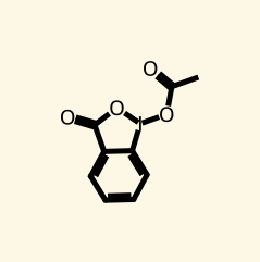 CC(=O)OI1OC(=O)c2ccccc21